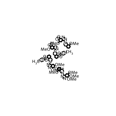 COc1cc2c(N3CCc4cccc(S(=O)(=O)N5CCN(C)CC5)c4C3)ncnc2c(OC)c1OC.COc1cc2c(N3CCc4cccc(S(=O)(=O)N5CCN(C)CC5)c4C3)ncnc2c2c1OCO2.COc1cccc2c1CN(c1ncnc3c(OC)c(OC)c(OC)cc13)CC2.COc1cccc2c1CN(c1ncnc3c4c(c(OC)cc13)OCO4)CC2